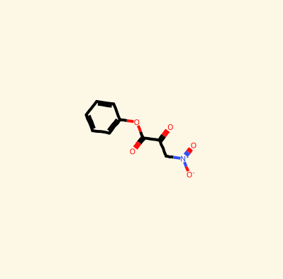 O=C(C[N+](=O)[O-])C(=O)Oc1ccccc1